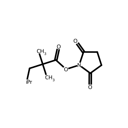 CC(C)CC(C)(C)C(=O)ON1C(=O)CCC1=O